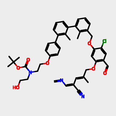 C=N/C=C(C#N)\C=C(/C)COc1cc(OCc2cccc(-c3cccc(-c4ccc(OCCN(CCO)C(=O)OC(C)(C)C)cc4)c3C)c2C)c(Cl)cc1C=O